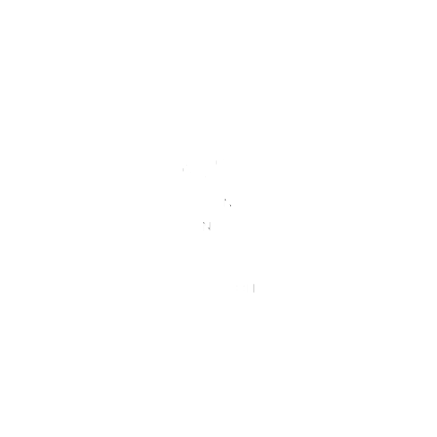 COC(=O)c1cn2ccc(CO)cc2n1